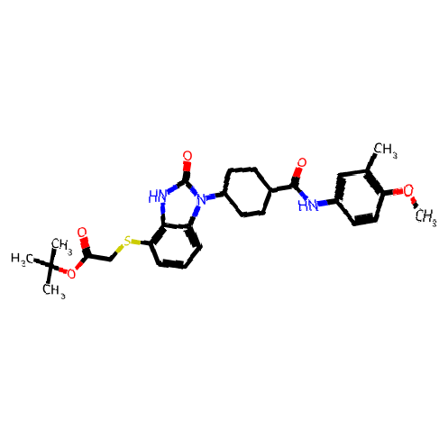 COc1ccc(NC(=O)C2CCC(n3c(=O)[nH]c4c(SCC(=O)OC(C)(C)C)cccc43)CC2)cc1C